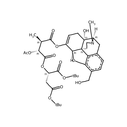 CC(=O)O[C@@H](C(=O)O[C@@H](CC(=O)OC(C)(C)C)C(=O)OC(C)(C)C)[C@@H](C)C(=O)OC1=CC[C@@]2(O)[C@H]3Cc4ccc(CO)c5c4[C@@]2(CCN3C)[C@H]1O5